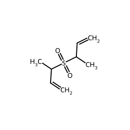 C=CC(C)S(=O)(=O)C(C)C=C